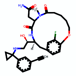 C#Cc1cccc(C2(NC[C@@H](O)[C@@H]3Cc4ccc(c(F)c4)OCCCCC(=O)N(C)C(CC(N)=O)C(=O)N3)CC2)c1